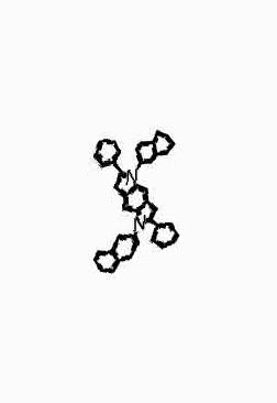 c1ccc(-c2cc3cc4c(cc(-c5ccccc5)n4-c4ccc5ccccc5c4)cc3n2-c2ccc3ccccc3c2)cc1